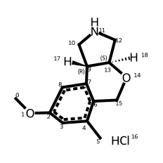 COc1cc(C)c2c(c1)[C@@H]1CNC[C@H]1OC2.Cl